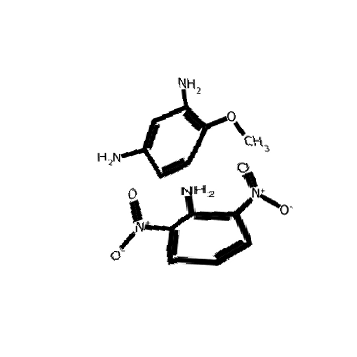 COc1ccc(N)cc1N.Nc1c([N+](=O)[O-])cccc1[N+](=O)[O-]